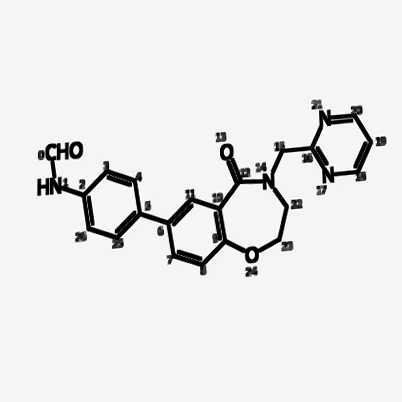 O=CNc1ccc(-c2ccc3c(c2)C(=O)N(Cc2ncccn2)CCO3)cc1